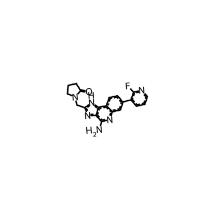 Nc1nc2cc(-c3cccnc3F)ccc2c2[nH]c(CN3CCCC3=O)nc12